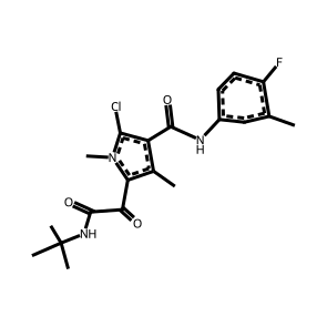 Cc1cc(NC(=O)c2c(C)c(C(=O)C(=O)NC(C)(C)C)n(C)c2Cl)ccc1F